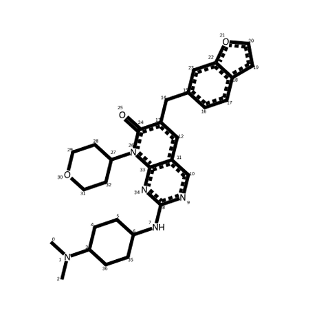 CN(C)C1CCC(Nc2ncc3cc(Cc4ccc5ccoc5c4)c(=O)n(C4CCOCC4)c3n2)CC1